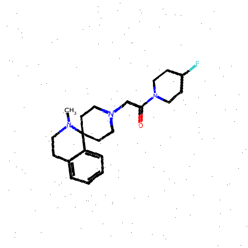 CN1CCc2ccccc2C12CCN(CC(=O)N1CCC(F)CC1)CC2